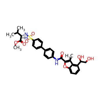 COC(=O)[C@@H](NS(=O)(=O)c1ccc(-c2ccc(NC(=O)c3oc4cccc(C(O)CO)c4c3C)cc2)cc1)C(C)C